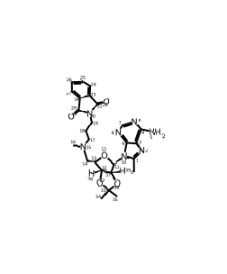 Cc1nc2c(N)ncnc2n1[C@@H]1O[C@H](CN(C)CCCN2C(=O)c3ccccc3C2=O)[C@H]2OC(C)(C)O[C@H]21